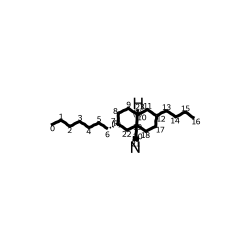 CCCCCCC[C@@H]1CC[C@@H]2CC(CCCC)CCC2(C#N)C1